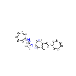 C=C(/C=C\C(=C/CC)N1CC/C1=N\C1=CCC=CC=C1)CCC1=CCC=CC=C1